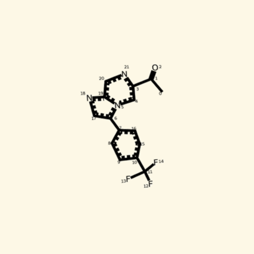 CC(=O)c1cn2c(-c3ccc(C(F)(F)F)cc3)cnc2cn1